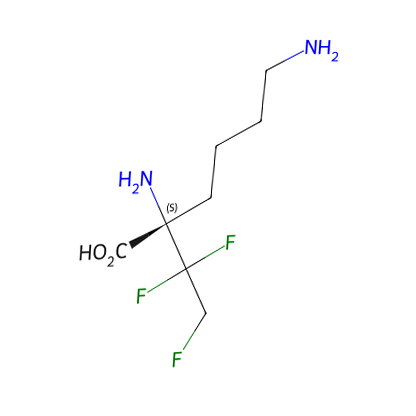 NCCCC[C@](N)(C(=O)O)C(F)(F)CF